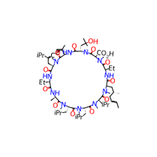 C=C=C=C(C[C@@H]1C(=O)N[C@H](CC)C(=O)N[C@H](C)C(=O)N(C)[C@@H](CC(C)C)C(=O)N(C)[C@@H](CC(C)C)C(=O)N(C)[C@H](C(C)C)C(=O)N(C)C(C[C@H](C)C/C=C/C)C(=O)NC(CC)C(=O)N(C)C(C(=O)O)C(=O)N(C)[C@@H](CC(C)(C)O)C(=O)NC(C(=C)C)C(=O)N1C)C(C)C